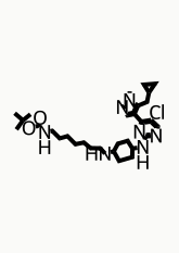 Cn1ncc(-c2nc(NC3CCC(NCCCCCCCNC(=O)OC(C)(C)C)CC3)ncc2Cl)c1CC1CC1